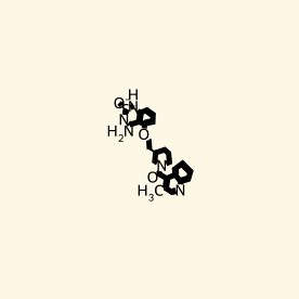 Cc1cnc2ccccc2c1C(=O)N1CCC[C@H](CCOc2cccc3c2C(N)=N[S+]([O-])N3)C1